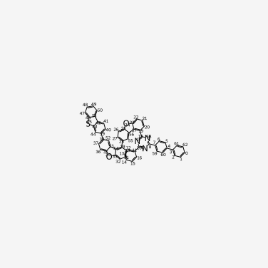 c1ccc(-c2ccc(-c3nc(-c4ccccc4)nc(-c4cccc5oc6ccc(-c7cccc8oc9ccc(-c%10ccc%11c(c%10)sc%10ccccc%10%11)cc9c78)cc6c45)n3)cc2)cc1